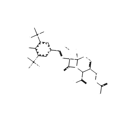 CO[C@@]1(N=Cc2cc(C(C)(C)C)c(O)c(C(C)(C)C)c2)C(=O)N2C(C(=O)O)C(COC(C)=O)=CS[C@H]21